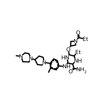 CCC(=O)N1CC(OC2NC(Nc3ccc(N4CCC(N5CCN(C)CC5)CC4)c(C)c3)C(C(N)=O)NC2CC)C1